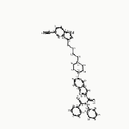 N#Cc1ccc2[nH]cc(CCCCN3CCN(c4ccc5oc(C(=O)N(C(=O)c6ccccc6)c6ccccc6)cc5c4)CC3)c2c1